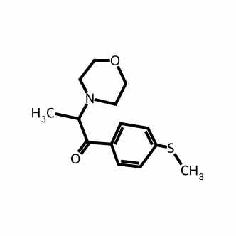 CSc1ccc(C(=O)C(C)N2CCOCC2)cc1